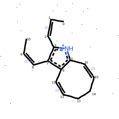 C/C=C\c1[nH]c2c(c1/C=C\C)/C=C\CC/C=C\2